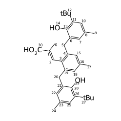 CC(=Cc1c(Cc2cc(C)cc(C(C)(C)C)c2O)cc(C)cc1Cc1cc(C)cc(C(C)(C)C)c1O)C(=O)O